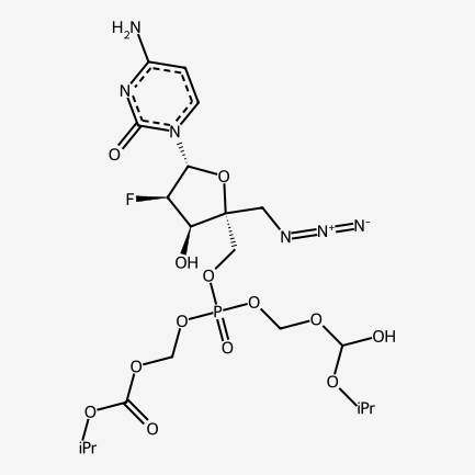 CC(C)OC(=O)OCOP(=O)(OCOC(O)OC(C)C)OC[C@@]1(CN=[N+]=[N-])O[C@@H](n2ccc(N)nc2=O)[C@H](F)[C@@H]1O